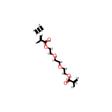 C=C.C=C.C=C.C=C(C)C(=O)OCCOCCOCCOC(=O)C(=C)C